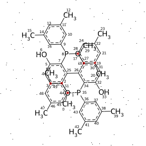 COc1ccc(O)c(P(c2cc(C)cc(C)c2)c2cc(C)cc(C)c2)c1-c1c(OC)ccc(O)c1P(c1cc(C)cc(C)c1)c1cc(C)cc(C)c1